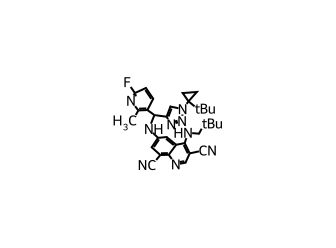 Cc1nc(F)ccc1C(Nc1cc(C#N)c2ncc(C#N)c(NCC(C)(C)C)c2c1)c1cn(C2(C(C)(C)C)CC2)nn1